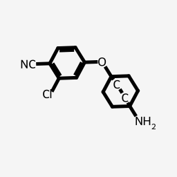 N#Cc1ccc(OC23CCC(N)(CC2)CC3)cc1Cl